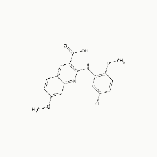 COc1ccc2cc(C(=O)O)c(Nc3cc(Cl)ccc3OC)nc2c1